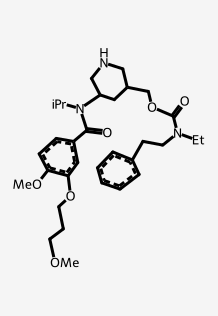 CCN(CCc1ccccc1)C(=O)OCC1CNCC(N(C(=O)c2ccc(OC)c(OCCCOC)c2)C(C)C)C1